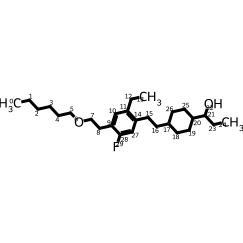 CCCCCCOCCc1cc(CC)c(CCC2CCC(C(O)CC)CC2)cc1F